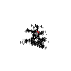 CC(C)C[C@H](NC(=O)[C@@H](CCCNC(=N)N)NC(=O)C1C2CC2CN1C(=O)[C@H](CCCCNC(=N)N)NC(=O)[C@H](CCC(N)=O)NC(=O)[C@@H](CCCNC(N)N)NC(=O)C(C)(C)C(=O)NCCc1c[nH]cn1)C(=O)NC(C)(C)C(=O)N[C@@H](Cc1c[nH]cn1)C(=O)N[C@@H](CC1CCNCC1)C(N)=O